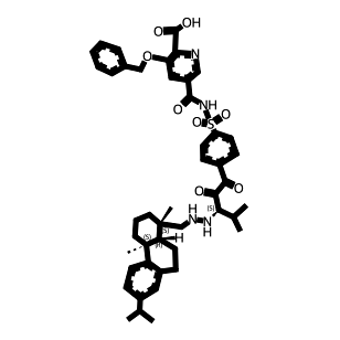 CC(C)c1ccc2c(c1)CC[C@H]1[C@@](C)(CNN[C@H](C(=O)C(=O)c3ccc(S(=O)(=O)NC(=O)c4cnc(C(=O)O)c(OCc5ccccc5)c4)cc3)C(C)C)CCC[C@]21C